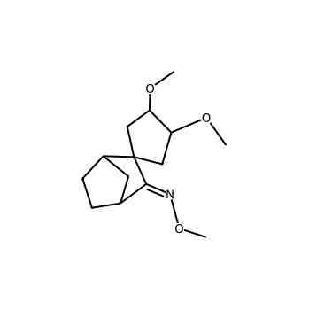 CON=C1C2CCC(C2)C12CC(OC)C(OC)C2